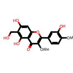 COc1ccc(-c2oc3cc(O)c(CO)c(O)c3c(=O)c2OC)cc1O